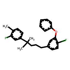 Cc1ccc(C(C)(C)CCCc2ccc(F)c(Oc3ccccc3)c2)cc1F